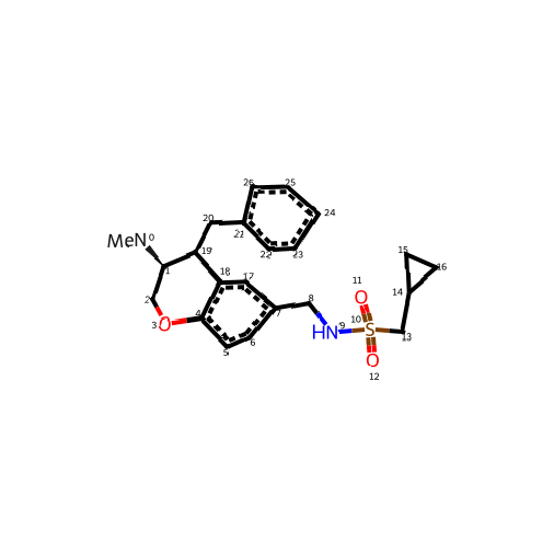 CN[C@@H]1COc2ccc(CNS(=O)(=O)CC3CC3)cc2C1Cc1ccccc1